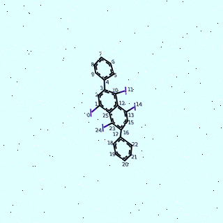 Ic1cc(-c2ccccc2)c(I)c2c(I)cc(-c3ccccc3)c(I)c12